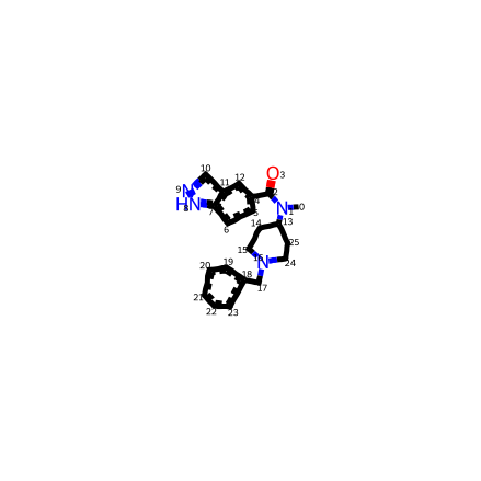 CN(C(=O)c1ccc2[nH]ncc2c1)C1CCN(Cc2ccccc2)CC1